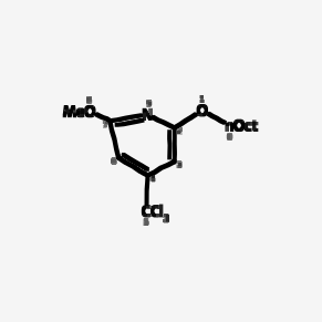 CCCCCCCCOc1cc(C(Cl)(Cl)Cl)cc(OC)n1